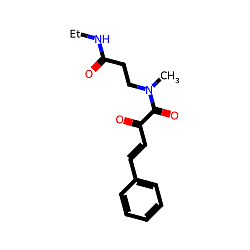 CCNC(=O)CCN(C)C(=O)C(=O)/C=C/c1ccccc1